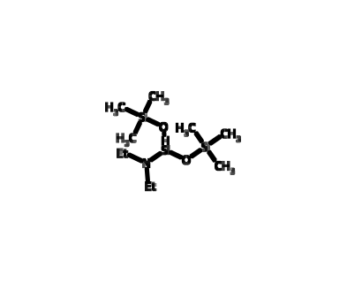 CCN(CC)[SiH](O[Si](C)(C)C)O[Si](C)(C)C